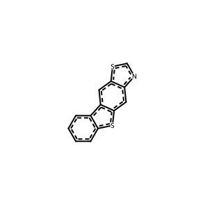 c1ccc2c(c1)sc1cc3ncsc3cc12